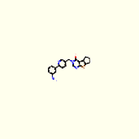 Nc1cccc(-c2ccc(Cn3cnc4sc5c(c4c3=O)CCC5)cn2)c1